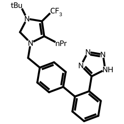 CCCC1=C(C(F)(F)F)N(C(C)(C)C)CN1Cc1ccc(-c2ccccc2-c2nnn[nH]2)cc1